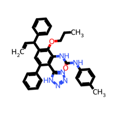 C=CC(c1ccccc1)c1cc(-c2ccccc2)c(-c2nnn[nH]2)c(NC(=O)Nc2ccc(C)cc2)c1OCCC